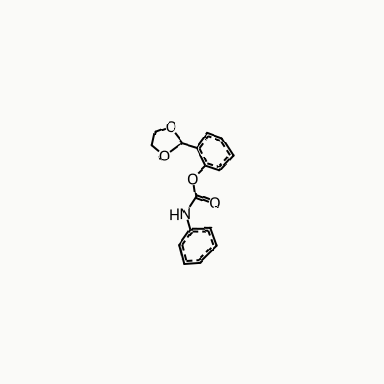 O=C(Nc1ccccc1)Oc1ccccc1C1OCCO1